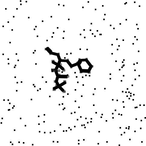 C=CCC(CCC1=CCCC=C1)C(C)(C)NC(=C)CC(C)(C)C